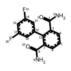 NC(=O)c1cccc(C(N)=O)c1-c1cc(F)cc(F)c1